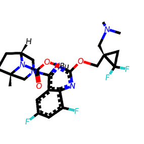 CN(C)C[C@@]1(COc2nc(N3C[C@H]4CC[C@@](C)(C3)N4C(=O)OC(C)(C)C)c3cc(F)cc(F)c3n2)CC1(F)F